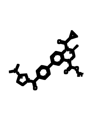 CC(C)OC(=O)N1C[C@H](C)N(C(=O)C2CC2)c2ccc(-c3ccc(C(=O)N4CC[C@@H](N(C)C)C4)cc3)cc21